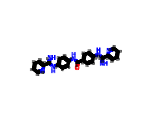 N=C(Nc1ccc(NC(=O)c2ccc(NC(=N)c3ccccn3)cc2)cc1)c1ccccn1